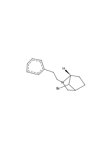 BrC1C2CC[C@H]1N(CCc1ccccc1)C2